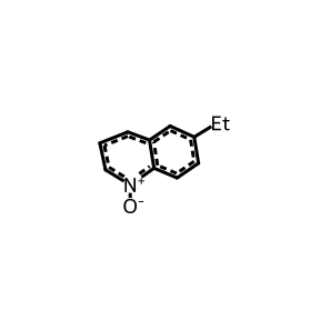 CCc1ccc2c(ccc[n+]2[O-])c1